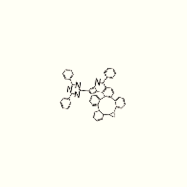 C1=CC2c3ccccc3-c3c(ccc4c(-c5ccccc5)nc5cc(-c6nc(-c7ccccc7)nc(-c7ccccc7)n6)ccc5c34)-c3ccccc3C3CC3C2C=C1